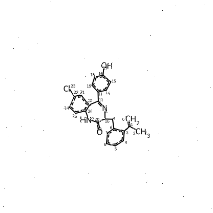 C=C(C)c1ccccc1CC1N=C(c2ccc(O)cc2)c2cc(Cl)ccc2NC1=O